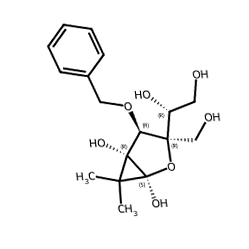 CC1(C)[C@]2(O)O[C@](CO)([C@H](O)CO)[C@H](OCc3ccccc3)[C@]12O